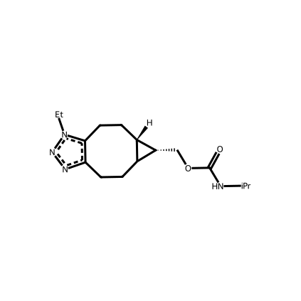 CCn1nnc2c1CC[C@H]1C(CC2)[C@H]1COC(=O)NC(C)C